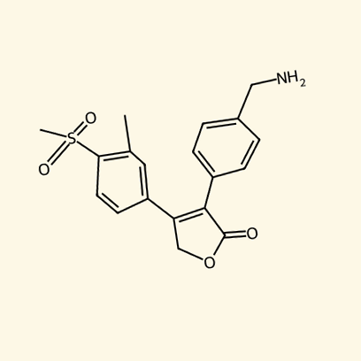 Cc1cc(C2=C(c3ccc(CN)cc3)C(=O)OC2)ccc1S(C)(=O)=O